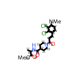 CNc1ccc(/C=C/C(=O)N2CCC(C(=O)NC(C)C(=O)OC)CC2)c(Cl)c1Cl